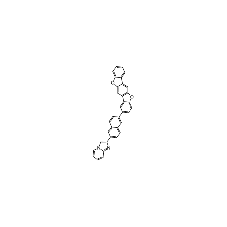 c1ccc2c(c1)oc1cc3c(cc12)oc1ccc(-c2ccc4cc(-c5cn6ccccc6n5)ccc4c2)cc13